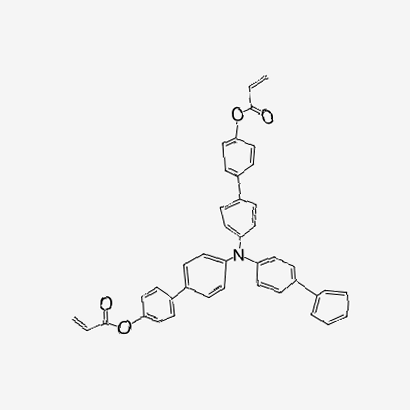 C=CC(=O)Oc1ccc(-c2ccc(N(c3ccc(-c4ccccc4)cc3)c3ccc(-c4ccc(OC(=O)C=C)cc4)cc3)cc2)cc1